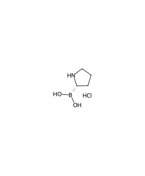 Cl.OB(O)[C@H]1CCCN1